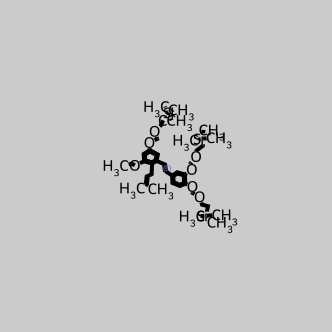 CCOc1cc(OCOCC[Si](C)(C)C)cc(/C=C/c2ccc(OCOCC[Si](C)(C)C)c(OCOCC[Si](C)(C)C)c2)c1CC=C(C)C